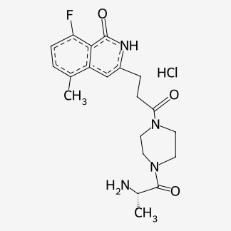 Cc1ccc(F)c2c(=O)[nH]c(CCC(=O)N3CCN(C(=O)[C@H](C)N)CC3)cc12.Cl